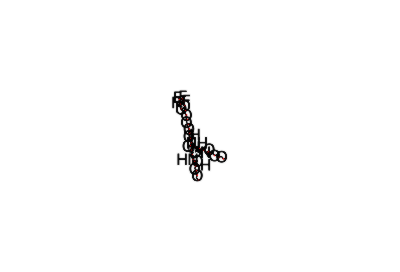 CCOCCOCCC(=O)NCCCC[C@H](NC(=O)CCCNC(=O)CCOCCOCC)C(=O)NCCOCCOCCOCCOCCC(=O)Oc1c(F)c(F)c(F)c(F)c1F